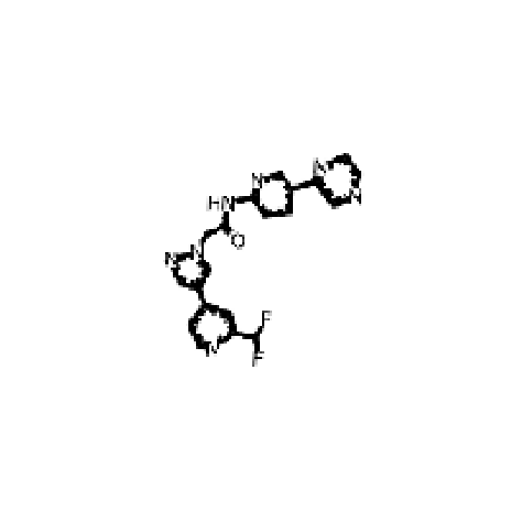 O=C(Cn1cc(-c2ccnc(C(F)F)c2)cn1)Nc1ccc(-c2cnccn2)cn1